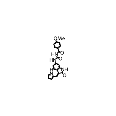 COc1ccc(C(=O)NC(=O)Nc2ccc3c(c2)NC(=O)C3=Cc2ccc[nH]2)cc1